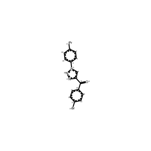 CC(C)c1ccc(-n2cc(C(=O)c3ccc(Br)cc3)nn2)cc1